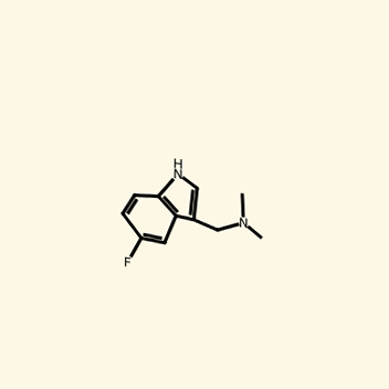 CN(C)Cc1c[nH]c2ccc(F)cc12